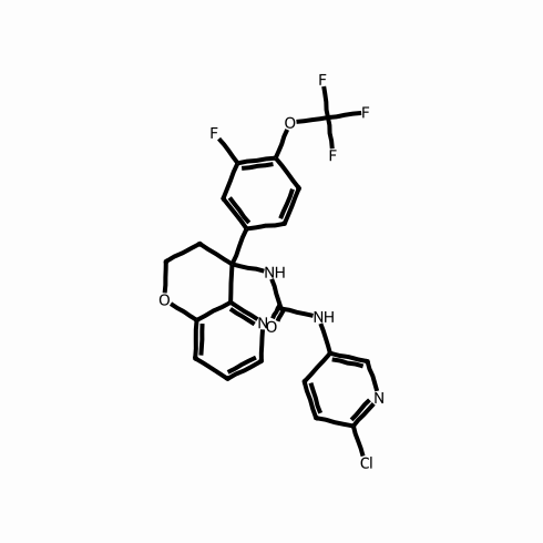 O=C(Nc1ccc(Cl)nc1)NC1(c2ccc(OC(F)(F)F)c(F)c2)CCOc2cccnc21